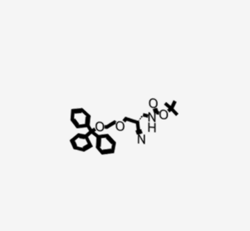 CC(C)(C)OC(=O)NC[C@H](C#N)COCCOC(c1ccccc1)(c1ccccc1)c1ccccc1